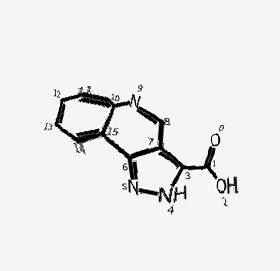 O=C(O)c1[nH]nc2c1cnc1ccccc12